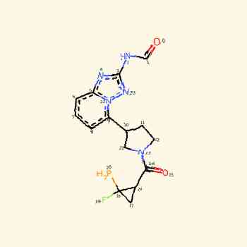 O=CNc1nc2cccc(C3CCN(C(=O)C4CC4(F)P)C3)n2n1